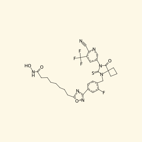 N#Cc1ncc(N2C(=O)C3(CCC3)N(Cc3ccc(-c4noc(CCCCCCCC(=O)NO)n4)cc3F)C2=S)cc1C(F)(F)F